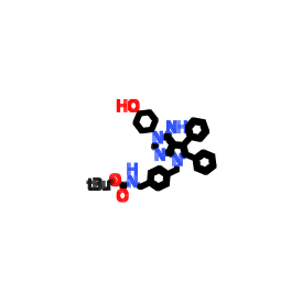 CC(C)(C)OC(=O)NCc1ccc(Cn2c(-c3ccccc3)c(-c3ccccc3)c3c(=N)n([C@H]4CC[C@H](O)CC4)cnc32)cc1